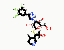 Cc1ccncc1[C@@H](S[C@@H]1O[C@H](CO)[C@H](O)[C@H](n2cc(-c3cc(F)c(F)c(F)c3)nn2)[C@H]1O)C(C)(C)O